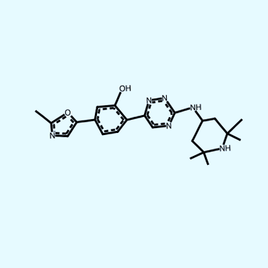 Cc1ncc(-c2ccc(-c3cnc(NC4CC(C)(C)NC(C)(C)C4)nn3)c(O)c2)o1